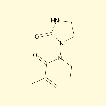 C=C(C)C(=O)N(CC)N1CCNC1=O